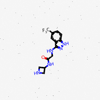 O=C(CNc1n[nH]c2ccc(C(F)(F)F)cc12)NC1CNC1